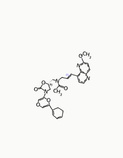 COc1ccc2nccc(/C=C/CN(C[C@@H]3CN(C4=COC=C(C5=CC=CCC5)O4)C(=O)O3)C(C)=O)c2n1